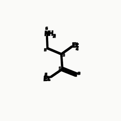 C=C(CC)C(CC)CN